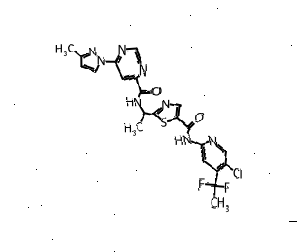 Cc1ccn(-c2cc(C(=O)NC(C)c3ncc(C(=O)Nc4cc(C(C)(F)F)c(Cl)cn4)s3)ncn2)n1